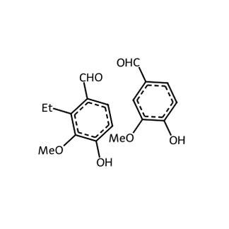 CCc1c(C=O)ccc(O)c1OC.COc1cc(C=O)ccc1O